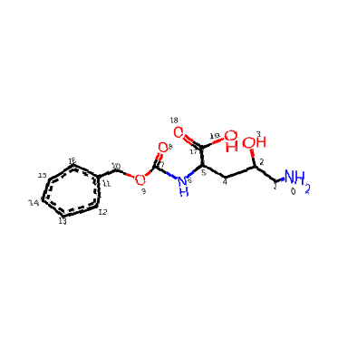 NCC(O)CC(NC(=O)OCc1ccccc1)C(=O)O